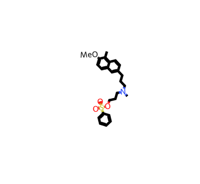 COc1ccc2cc(CCCN(C)CCCOS(=O)(=O)c3ccccc3)ccc2c1C